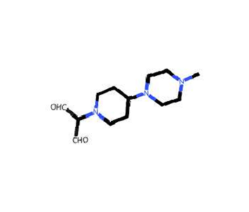 CN1CCN(C2CCN(C(C=O)C=O)CC2)CC1